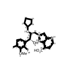 COc1c(C)ccc([C@@H](O)[C@H](Cn2cc3nccc(C(=O)O)c3n2)OC2CCCC2)c1F